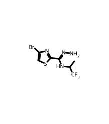 CC(NC(=NN)c1nc(Br)cs1)C(F)(F)F